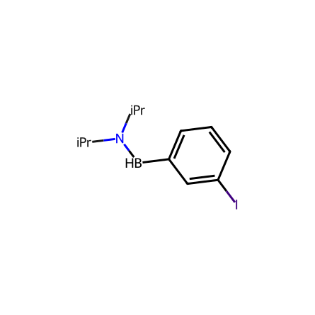 CC(C)N(Bc1cccc(I)c1)C(C)C